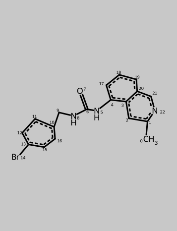 Cc1cc2c(NC(=O)NCc3ccc(Br)cc3)cccc2cn1